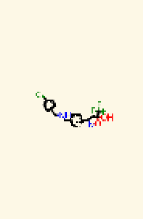 OC1(C(F)(F)F)CC(c2ccc(CNCc3ccc(Cl)cc3)cc2)=NO1